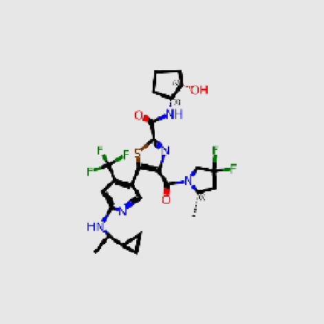 CC(Nc1cc(C(F)(F)F)c(-c2sc(C(=O)N[C@@H]3CCC[C@@H]3O)nc2C(=O)N2CC(F)(F)C[C@@H]2C)cn1)C1CC1